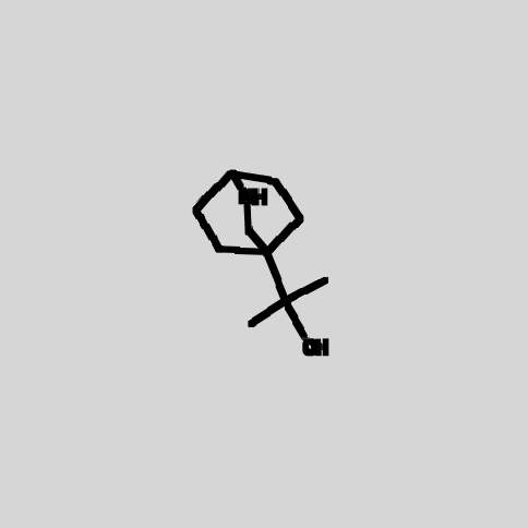 CC(C)(O)C12CCC(CC1)NC2